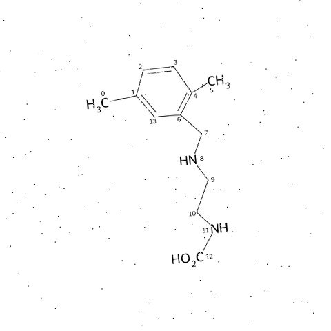 Cc1ccc(C)c(CNCCNC(=O)O)c1